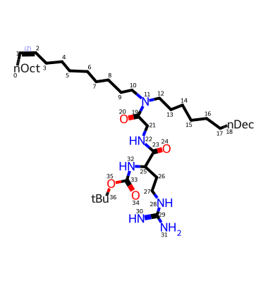 CCCCCCCC/C=C\CCCCCCCCN(CCCCCCCCCCCCCCCC)C(=O)CNC(=O)C(CCNC(=N)N)NC(=O)OC(C)(C)C